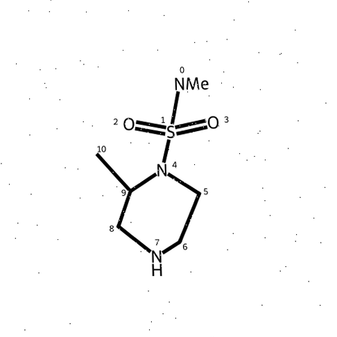 CNS(=O)(=O)N1CCNCC1C